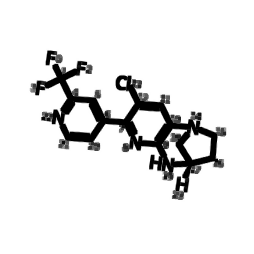 FC(F)(F)c1cc(-c2nc3c(cc2Cl)N2CC[C@@H](C2)N3)ccn1